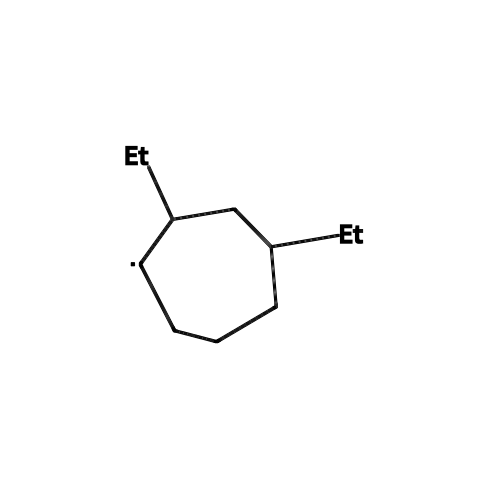 CCC1[CH]CCCC(CC)C1